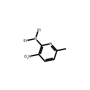 CCN(CC)c1nc(C)ccc1[N+](=O)[O-]